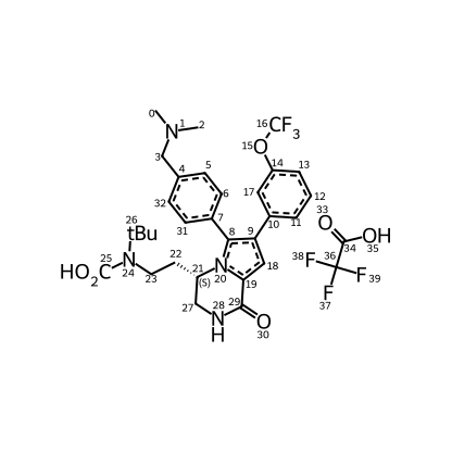 CN(C)Cc1ccc(-c2c(-c3cccc(OC(F)(F)F)c3)cc3n2[C@@H](CCN(C(=O)O)C(C)(C)C)CNC3=O)cc1.O=C(O)C(F)(F)F